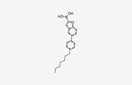 CCCCCCCc1ccc(-c2ccc3oc(B(O)O)cc3c2)cc1